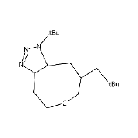 CC(C)(C)CC1CCCCC2N=NN(C(C)(C)C)C2C1